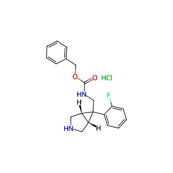 Cl.O=C(NCC1(c2ccccc2F)[C@@H]2CNC[C@@H]21)OCc1ccccc1